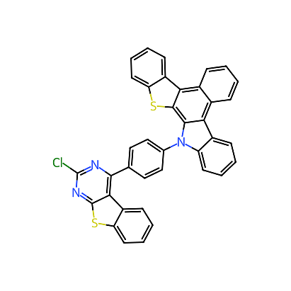 Clc1nc(-c2ccc(-n3c4ccccc4c4c5ccccc5c5c6ccccc6sc5c43)cc2)c2c(n1)sc1ccccc12